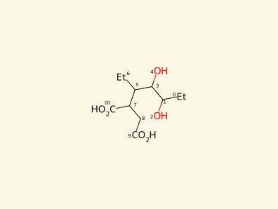 CCC(O)C(O)C(CC)C(CC(=O)O)C(=O)O